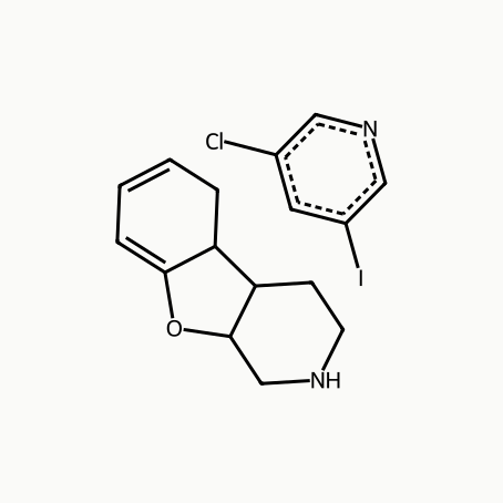 C1=CCC2C(=C1)OC1CNCCC12.Clc1cncc(I)c1